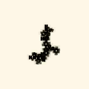 CC(C)[C@H](N)C(=O)N1CCC[C@H]1c1ncc(-c2ccc3c(c2)OC(COc2ccccc2)n2c-3cc3cc(-c4cnc([C@@H]5CCCN5C(=O)[C@@H](N)C(C)C)[nH]4)ccc32)[nH]1